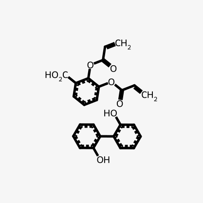 C=CC(=O)Oc1cccc(C(=O)O)c1OC(=O)C=C.Oc1ccccc1-c1ccccc1O